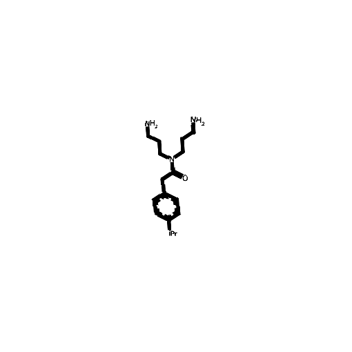 CC(C)c1ccc(CC(=O)N(CCCN)CCCN)cc1